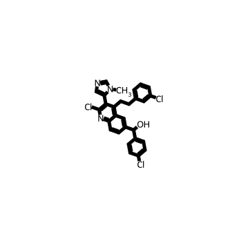 Cn1cncc1-c1c(Cl)nc2ccc(C(O)c3ccc(Cl)cc3)cc2c1CCc1cccc(Cl)c1